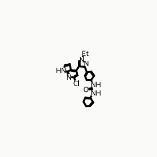 CCn1cc(-c2cc(Cl)nc3[nH]ccc23)c(C2=CCC(NC(=O)NC3=CCCC=C3)C=C2)n1